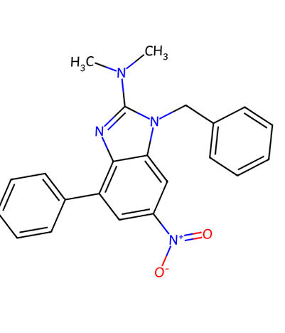 CN(C)c1nc2c(-c3ccccc3)cc([N+](=O)[O-])cc2n1Cc1ccccc1